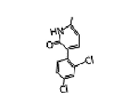 Cc1ccc(-c2ccc(Cl)cc2Cl)c(=O)[nH]1